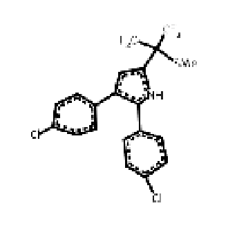 CSC(c1cc(-c2ccc(Cl)cc2)c(-c2ccc(Cl)cc2)[nH]1)(C(F)(F)F)C(F)(F)F